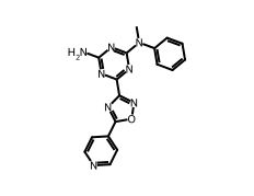 CN(c1ccccc1)c1nc(N)nc(-c2noc(-c3ccncc3)n2)n1